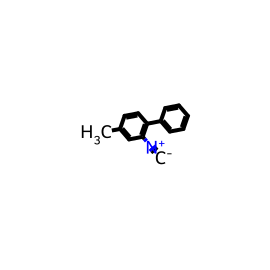 [C-]#[N+]c1cc(C)ccc1-c1ccccc1